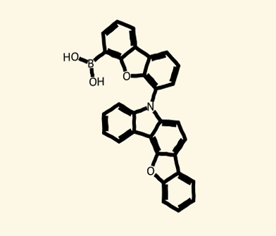 OB(O)c1cccc2c1oc1c(-n3c4ccccc4c4c5oc6ccccc6c5ccc43)cccc12